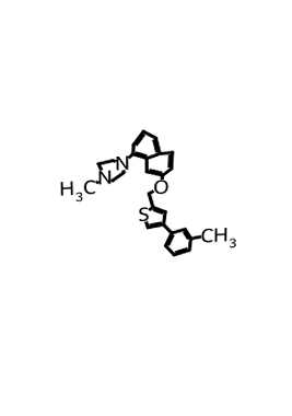 Cc1cccc(-c2csc(COc3ccc4cccc(N5CCN(C)CC5)c4c3)c2)c1